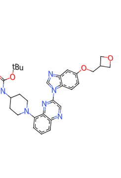 CC(C)(C)OC(=O)NC1CCN(c2cccc3ncc(-n4cnc5cc(OCC6COC6)ccc54)nc23)CC1